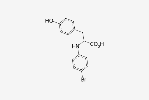 O=C(O)C(Cc1ccc(O)cc1)Nc1ccc(Br)cc1